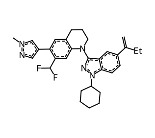 C=C(CC)c1ccc2c(c1)c(N1CCCc3cc(-c4cnn(C)c4)c(C(F)F)cc31)nn2C1CCCCC1